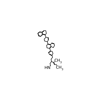 CC/C=C(\C)C(CC=N)CCC1=CC=C(C2=C3CCC=CC3=C(C3C=CC(C4=c5ccccc5=CCC4)CC3)CC2)CC1